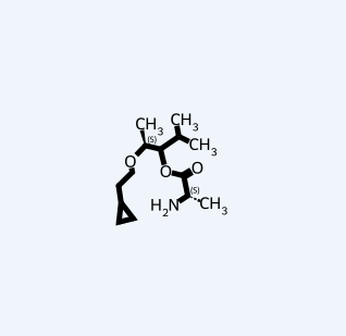 CC(C)C(OC(=O)[C@H](C)N)[C@H](C)OCCC1CC1